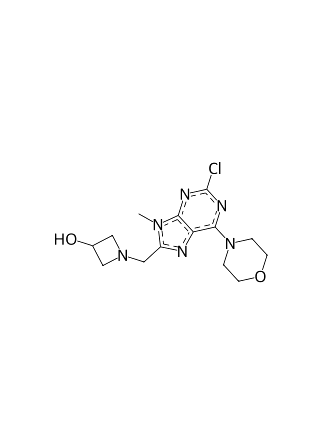 Cn1c(CN2CC(O)C2)nc2c(N3CCOCC3)nc(Cl)nc21